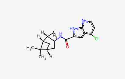 C[C@@H]1C(NC(=O)c2cc3c(Cl)ccnc3[nH]2)C[C@H]2C[C@@H]1C2(C)C